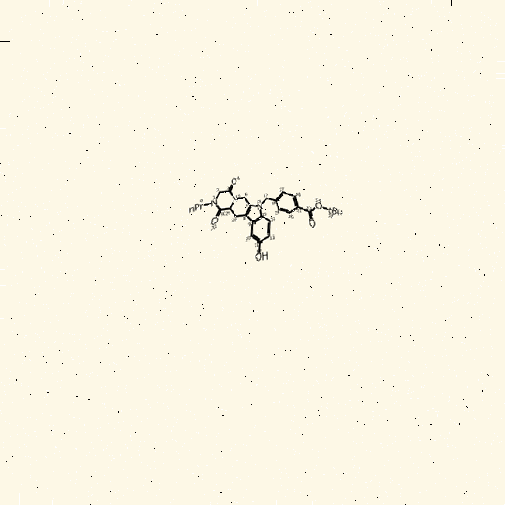 CCCN1CC(=O)N2Cc3c(c4cc(O)ccc4n3Cc3ccc(C(=O)OC(C)(C)C)cc3)CC2C1=O